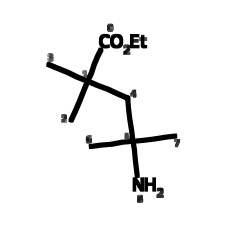 CCOC(=O)C(C)(C)CC(C)(C)N